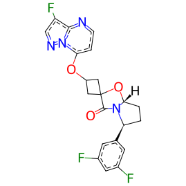 O=C1N2[C@@H](CC[C@H]2c2cc(F)cc(F)c2)OC12CC(Oc1ccnc3c(F)cnn13)C2